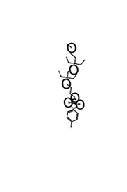 CCC(CC)(CCOC)OCC(CC)(CC)OCCOS(=O)(=O)c1ccc(C)cc1